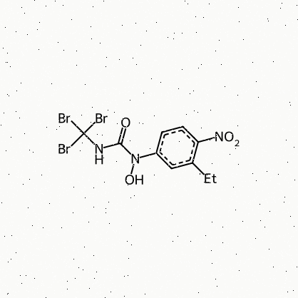 CCc1cc(N(O)C(=O)NC(Br)(Br)Br)ccc1[N+](=O)[O-]